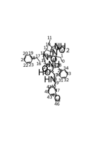 CCCN(C(N)=O)C1([C@@H](C)CC)CCN([C@@H](CCc2ccccc2)C(=O)N[C@@H](Cc2ccccc2)[C@H](O)CNCc2cccc(OC)c2)C1=O